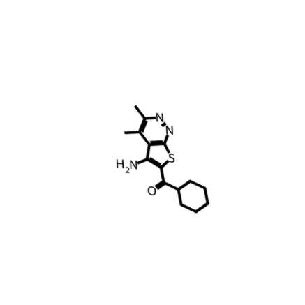 Cc1nnc2sc(C(=O)C3CCCCC3)c(N)c2c1C